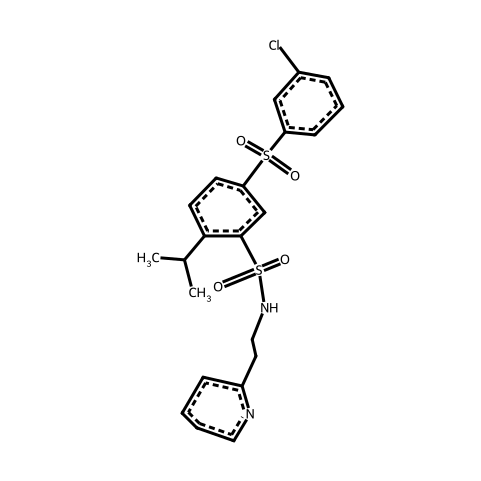 CC(C)c1ccc(S(=O)(=O)c2cccc(Cl)c2)cc1S(=O)(=O)NCCc1ccccn1